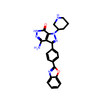 Nc1n[nH]c(=O)c2c1c(-c1ccc(-c3nc4ccccc4o3)cc1)nn2C1CCCNC1